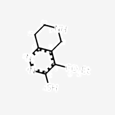 CCOC(=O)c1c(S)nnc2c1CNCC2